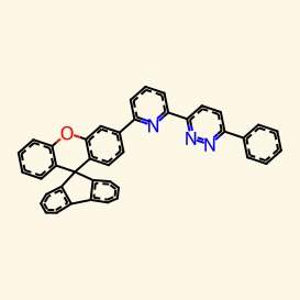 c1ccc(-c2ccc(-c3cccc(-c4ccc5c(c4)Oc4ccccc4C54c5ccccc5-c5ccccc54)n3)nn2)cc1